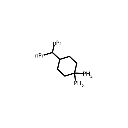 CCCC(CCC)C1CCC(P)(P)CC1